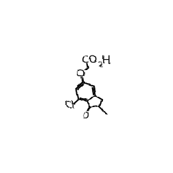 CC1Cc2cc(OCC(=O)O)cc(Cl)c2C1=O